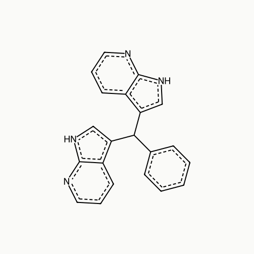 c1ccc(C(c2c[nH]c3ncccc23)c2c[nH]c3ncccc23)cc1